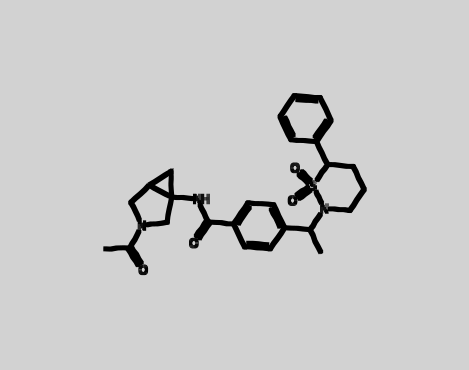 CC(=O)N1CC2CC2(NC(=O)c2ccc(C(C)N3CCCC(c4ccccc4)S3(=O)=O)cc2)C1